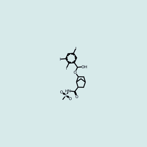 CS(=O)(=O)NC(=O)C1CC2CC(OC(O)c3cc(I)cc(I)c3I)C1C2